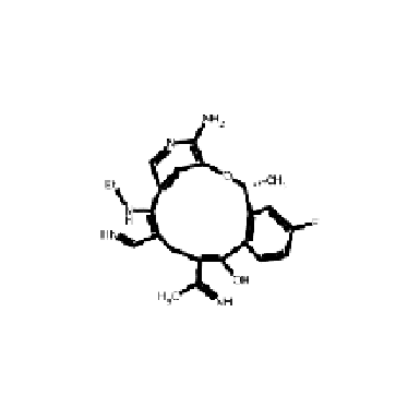 CCN/C1=C(\C=N)C/C(C(C)=N)=C(/O)c2ccc(F)cc2[C@@H](C)Oc2cc1cnc2N